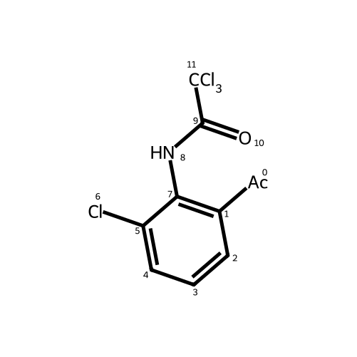 CC(=O)c1cccc(Cl)c1NC(=O)C(Cl)(Cl)Cl